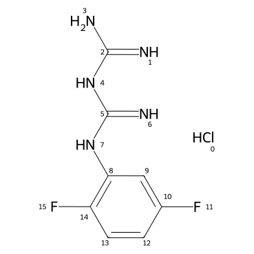 Cl.N=C(N)NC(=N)Nc1cc(F)ccc1F